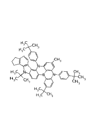 Cc1cc2c3c(c1)N(c1ccc(C(C)(C)C)cc1)c1c(ccc4c1c1ccc5c(c1n4C(C)(C)C)CCC5)B3c1cc(C(C)(C)C)ccc1N2c1ccc(C(C)(C)C)cc1